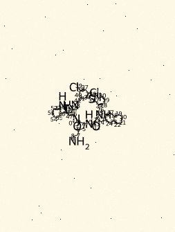 CN1C(=O)[C@H](CCCCN)NC(=O)[C@H](Cc2ccc3ccccc3c2)NCc2cccnc2Sc2c(Cl)cc(Cl)cc2CNC(=O)[C@@H]1Cc1c[nH]c2ccccc12